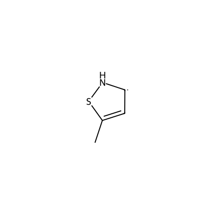 CC1=C[CH]NS1